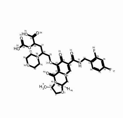 C[C@H]1CO[C@@H]2Cn3cc(C(=O)NCc4ccc(F)cc4F)c(=O)c(OCC(CC(OC(=O)O)C(=O)O)N4CCOCC4)c3C(=O)N12